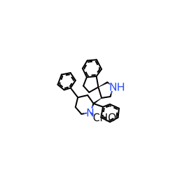 O=CN1CCC(c2ccccc2)CC1(c1ccccc1)[C@@H]1CNC[C@]12CCc1ccccc12